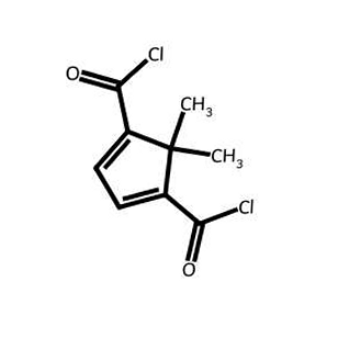 CC1(C)C(C(=O)Cl)=CC=C1C(=O)Cl